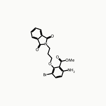 COC(=O)c1c(N)ccc(Br)c1OCCCN1C(=O)c2ccccc2C1=O